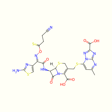 Cc1cc(SCC2=C(C(=O)O)N3C(=O)[C@@H](NC(=O)/C(=N\OC(=S)CCC#N)c4csc(N)n4)[C@H]3SC2)n2nc(C(=O)O)nc2n1